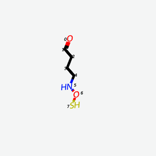 O=CCCCNOS